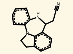 N#CCC1Nc2ccccc2N2CCc3cccc1c32